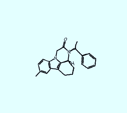 Cc1ccc2c(c1)c1c3n2CC(=O)N(C(C)c2ccccc2)[C@@H]3CCC1